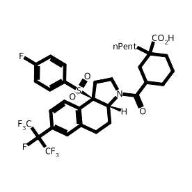 CCCCCC1(C(=O)O)CCCC(C(=O)N2CC[C@@]3(S(=O)(=O)c4ccc(F)cc4)c4ccc(C(F)(C(F)(F)F)C(F)(F)F)cc4CC[C@@H]23)C1